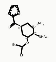 CCC(CC)O[C@H]1C[C@@H](C(=O)c2cccs2)C[C@H](N)[C@H]1NC(C)=O